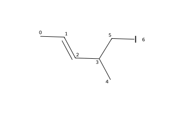 CC=CC(C)CI